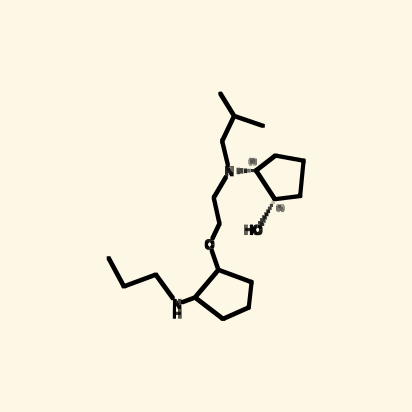 CCCNC1CCCC1OCCN(CC(C)C)[C@@H]1CCC[C@@H]1O